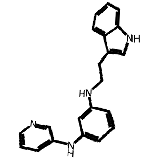 c1cncc(Nc2cccc(NCCc3c[nH]c4ccccc34)c2)c1